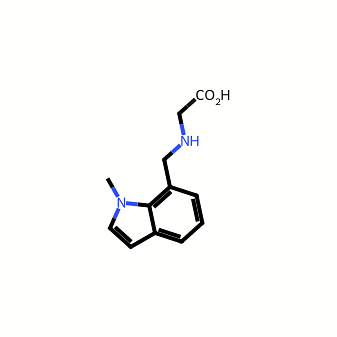 Cn1ccc2cccc(CNCC(=O)O)c21